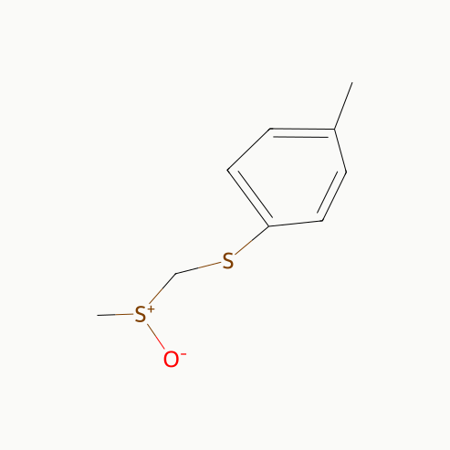 Cc1ccc(SC[S+](C)[O-])cc1